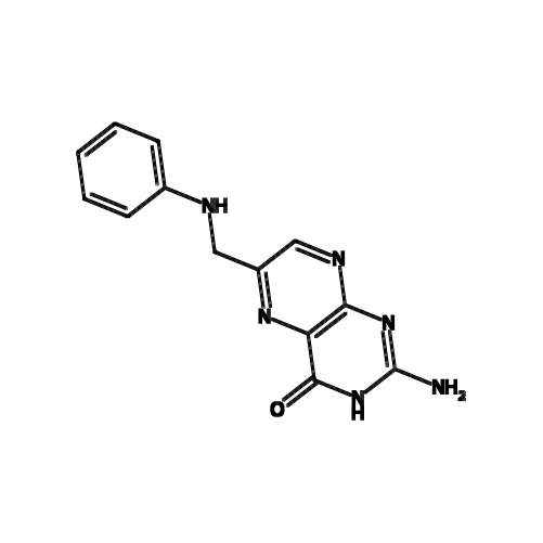 Nc1nc2ncc(CNc3ccccc3)nc2c(=O)[nH]1